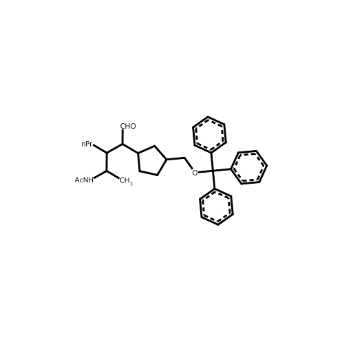 CCCC(C(C)NC(C)=O)C(C=O)C1CCC(COC(c2ccccc2)(c2ccccc2)c2ccccc2)C1